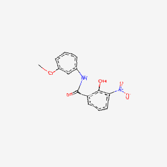 COc1cccc(NC(=O)c2cccc([N+](=O)[O-])c2O)c1